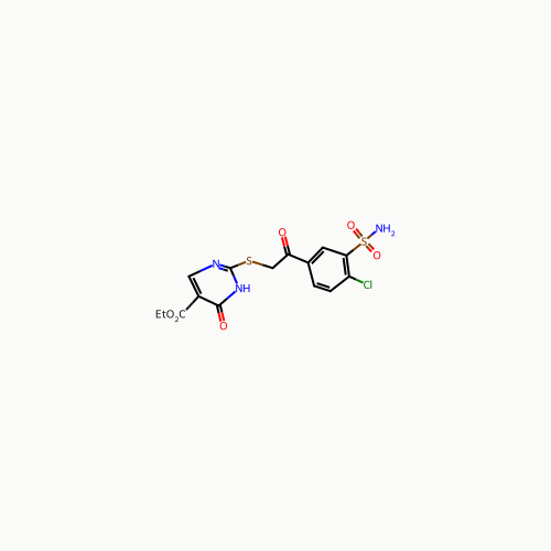 CCOC(=O)c1cnc(SCC(=O)c2ccc(Cl)c(S(N)(=O)=O)c2)[nH]c1=O